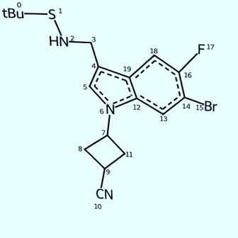 CC(C)(C)SNCc1cn(C2CC(C#N)C2)c2cc(Br)c(F)cc12